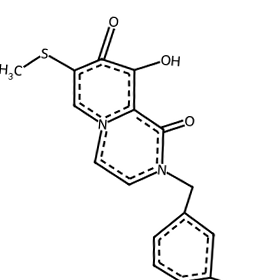 CSc1cn2ccn(Cc3cccc(Cl)c3)c(=O)c2c(O)c1=O